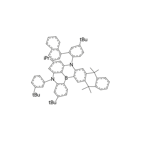 CC(C)c1cc2c3c(c1)N(c1ccc(C(C)(C)C)cc1-c1cccc4ccccc14)c1cc4c(cc1B3c1ccc(C(C)(C)C)cc1N2c1cccc(C(C)(C)C)c1)C(C)(C)c1ccccc1C4(C)C